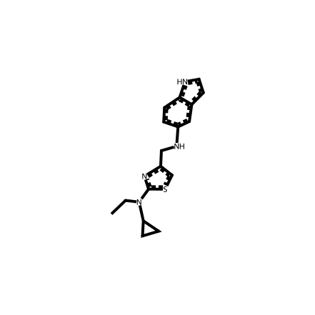 CCN(c1nc(CNc2ccc3[nH]ccc3c2)cs1)C1CC1